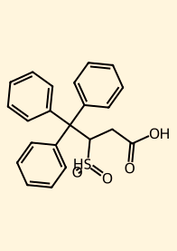 O=C(O)CC([SH](=O)=O)C(c1ccccc1)(c1ccccc1)c1ccccc1